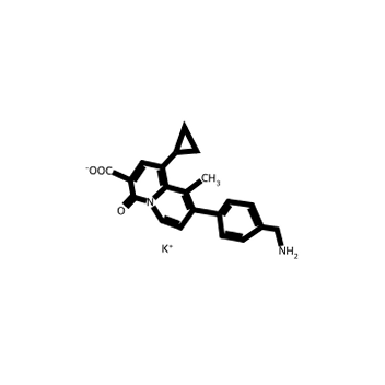 Cc1c(-c2ccc(CN)cc2)ccn2c(=O)c(C(=O)[O-])cc(C3CC3)c12.[K+]